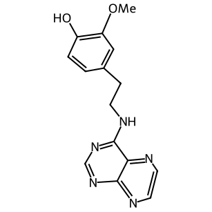 COc1cc(CCNc2ncnc3nccnc23)ccc1O